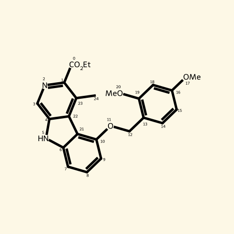 CCOC(=O)c1ncc2[nH]c3cccc(OCc4ccc(OC)cc4OC)c3c2c1C